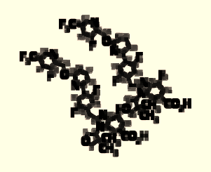 CC1(C)COCC1n1c(Cc2cc(F)c(-c3cccc(OCc4ncc(C(F)(F)F)cc4F)n3)cc2F)nc2c(F)cc(C(=O)O)cc21.CC1(C)COCC1n1c(Cc2cc(F)c(-c3cccc(OCc4ncc(C(F)(F)F)cc4F)n3)cc2F)nc2c(F)cc(C(=O)O)cc21